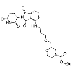 CC(C)(C)OC(=O)N1CCO[C@H](COCCCNc2cccc3c2C(=O)N(C2CCC(=O)NC2=O)C3=O)C1